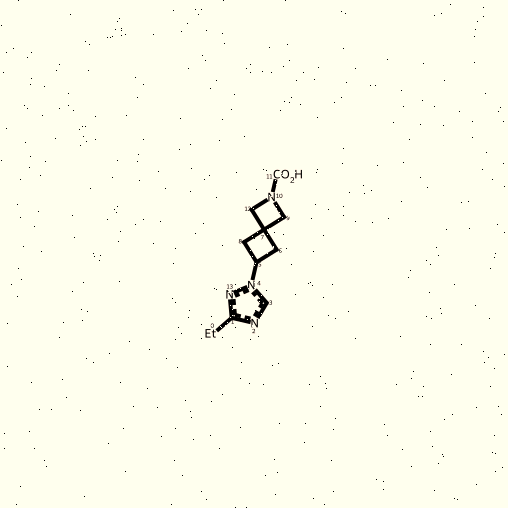 CCc1ncn(C2CC3(C2)CN(C(=O)O)C3)n1